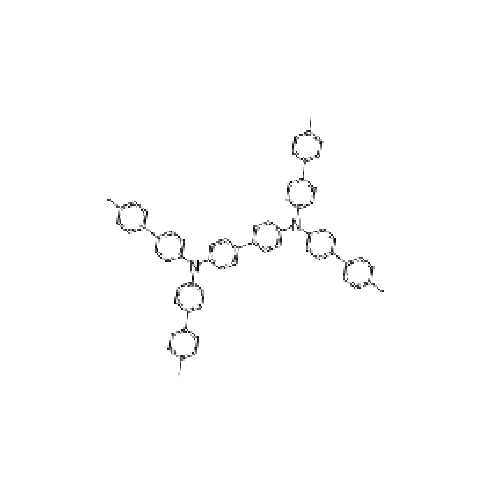 Cc1ccc(-c2ccc(N(c3ccc(-c4ccc(C)cc4)cc3)c3ccc(-c4ccc(N(c5ccc(-c6ccc(C)cc6)cc5)c5ccc(-c6ccc(C)cc6)cc5)cc4)cc3)cc2)cc1